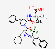 CC(C)[C@H](NC(=O)[C@@H]1C[C@H](c2ccccc2)CN1C(=O)[C@@H](CC1CCCCC1)N[C@H](c1ccc2ccccc2c1)C(F)(F)F)B(O)O